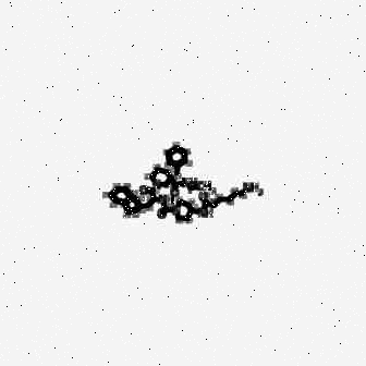 CCNC(=O)[C@]1(Cc2ccccc2)CCCN(C(=O)C(Cc2ccc3ccccc3c2)NC(=O)N2CCC(NC(=O)CCCCCN)CC2)C1